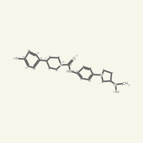 CC(=O)N(C)C1CCN(c2ccc(NC(=O)N3CCC(c4ccc(F)cc4)CC3)cc2)C1